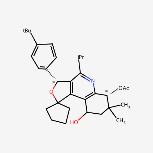 CC(=O)O[C@H]1c2nc(C(C)C)c3c(c2C(O)CC1(C)C)C1(CCCC1)O[C@@H]3c1ccc(C(C)(C)C)cc1